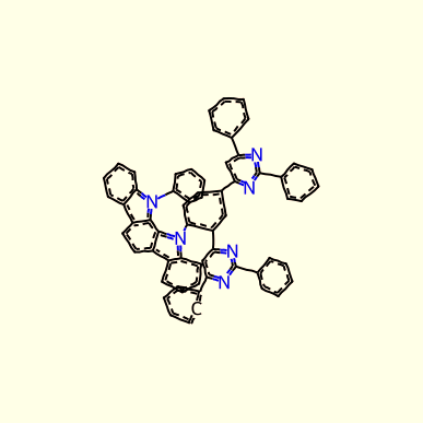 c1ccc(-c2cc(-c3ccc(-n4c5ccccc5c5ccc6c7ccccc7n(-c7ccccc7)c6c54)c(-c4cc(-c5ccccc5)nc(-c5ccccc5)n4)c3)nc(-c3ccccc3)n2)cc1